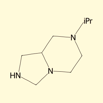 CC(C)N1CCN2CNCC2C1